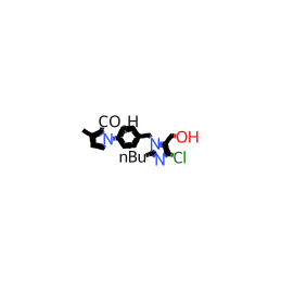 CCCCc1nc(Cl)c(CO)n1Cc1ccc(-n2ccc(C)c2C(=O)O)cc1